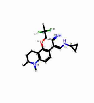 CC1CCc2c(ccc(/C(C=N)=C/NC3CC3)c2OCC(C)(F)F)N1C